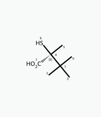 CC(C)(C)[C@](C)(S)C(=O)O